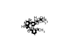 COc1cccc(C(=O)Nc2c[nH]c3ncc(Br)c(N4CCC[C@@H](NC(=O)OC(C)(C)C)C4)c23)n1